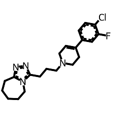 Fc1cc(C2=CCN(CCCc3nnc4n3CCCCC4)CC2)ccc1Cl